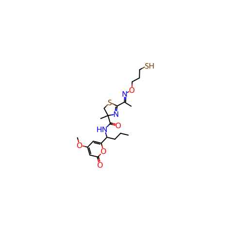 CCCC(NC(=O)C1(C)CSC(/C(C)=N/OCCCS)=N1)c1cc(OC)cc(=O)o1